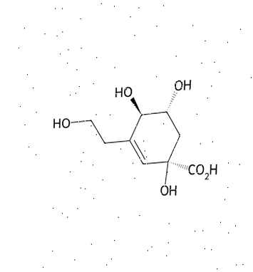 O=C(O)[C@]1(O)C=C(CCO)[C@@H](O)[C@H](O)C1